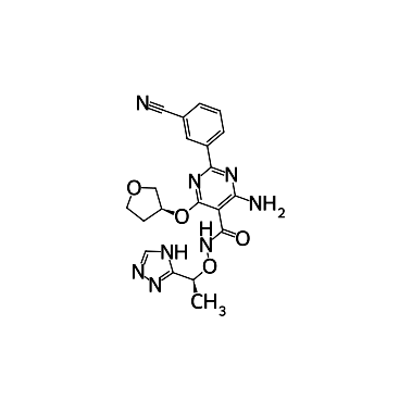 C[C@H](ONC(=O)c1c(N)nc(-c2cccc(C#N)c2)nc1O[C@H]1CCOC1)c1nnc[nH]1